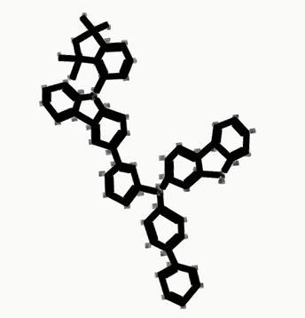 CC1(C)CC(C)(C)c2c(-n3c4ccccc4c4cc(-c5cccc(N(c6ccc(-c7ccccc7)cc6)c6ccc7c(c6)sc6ccccc67)c5)ccc43)cccc21